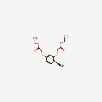 C#Cc1ccc(SCC(=O)OCC)cc1SCC(=O)OCC